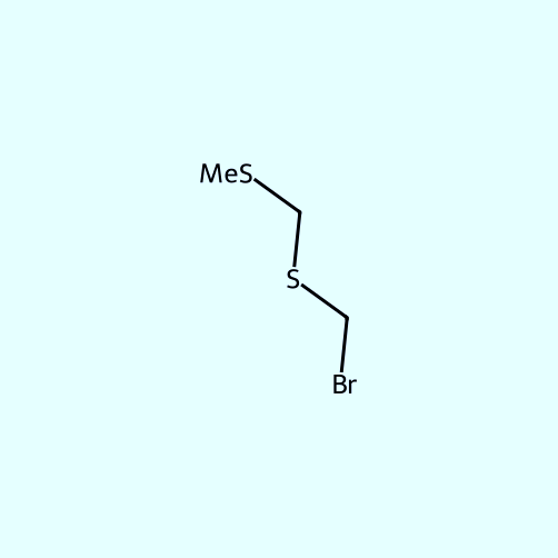 CSCSCBr